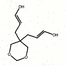 OC=CCC1(CC=CO)COCOC1